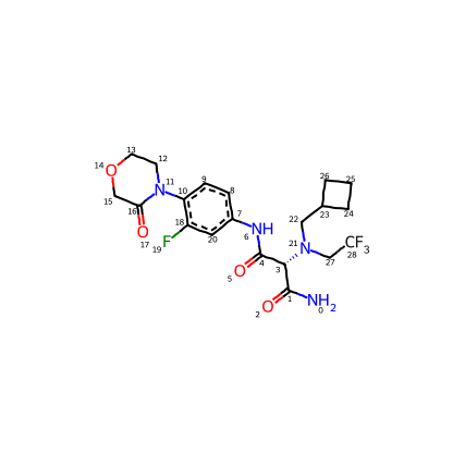 NC(=O)[C@H](C(=O)Nc1ccc(N2CCOCC2=O)c(F)c1)N(CC1CCC1)CC(F)(F)F